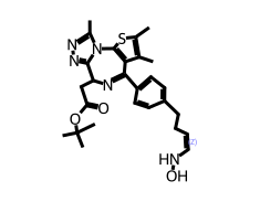 Cc1sc2c(c1C)C(c1ccc(CC/C=C\NO)cc1)=NC(CC(=O)OC(C)(C)C)c1nnc(C)n1-2